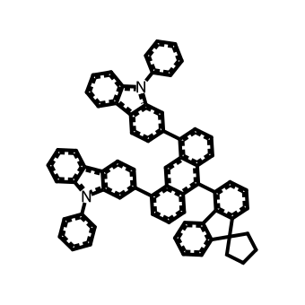 c1ccc(-n2c3ccccc3c3ccc(-c4cccc5c(-c6cccc7c6-c6ccccc6C76CCCC6)c6cccc(-c7ccc8c9ccccc9n(-c9ccccc9)c8c7)c6cc45)cc32)cc1